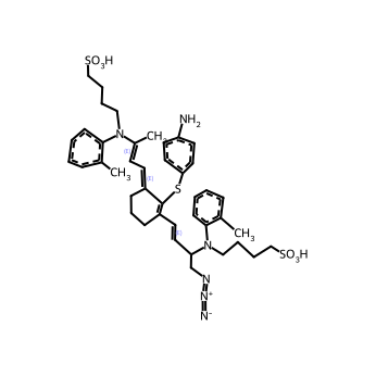 C/C(=C\C=C1/CCCC(/C=C/C(CN=[N+]=[N-])N(CCCCS(=O)(=O)O)c2ccccc2C)=C1Sc1ccc(N)cc1)N(CCCCS(=O)(=O)O)c1ccccc1C